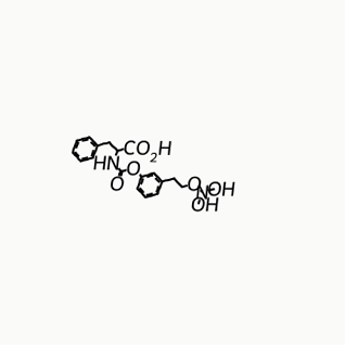 O=C(NC(Cc1ccccc1)C(=O)O)Oc1cccc(CCON(O)O)c1